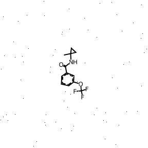 CC1(NC(=O)c2cccc(OC(F)(F)F)c2)CC1